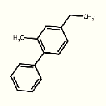 [CH2]Cc1ccc(-c2ccccc2)c(C)c1